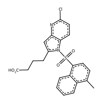 Cc1ccc(S(=O)(=O)n2c(CCCC(=O)O)cc3nc(Cl)ccc32)c2ccccc12